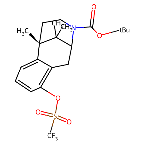 CC(C)(C)OC(=O)N1CC[C@@]2(C)c3cccc(OS(=O)(=O)C(F)(F)F)c3CC1C2(C)C